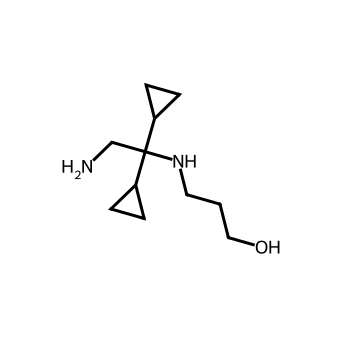 NCC(NCCCO)(C1CC1)C1CC1